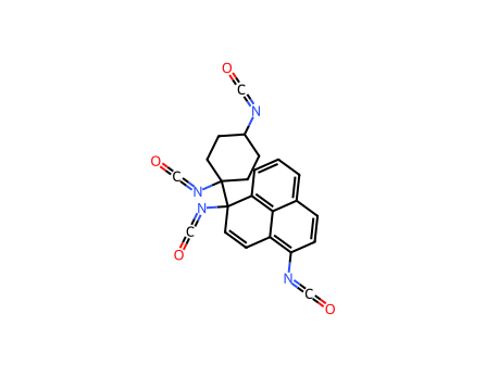 O=C=Nc1ccc2cccc3c2c1C=CC3(N=C=O)C1(N=C=O)CCC(N=C=O)CC1